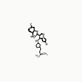 CN(C)CCC1CCC(Nc2c(/C(N)=N/c3cc(F)ccc3Cl)cnn3cc(Br)cc23)C1